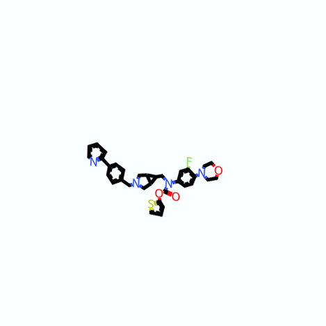 O=C(Oc1cccs1)N(CC1C2CN(Cc3ccc(-c4ccccn4)cc3)CC21)c1ccc(N2CCOCC2)c(F)c1